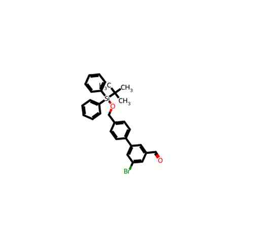 CC(C)(C)[Si](OCc1ccc(-c2cc(Br)cc(C=O)c2)cc1)(c1ccccc1)c1ccccc1